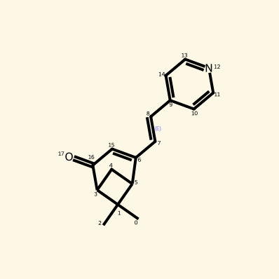 CC1(C)C2CC1C(/C=C/c1ccncc1)=CC2=O